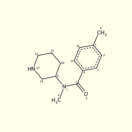 Cc1ccc(C(=O)N(C)C2CCCNC2)cc1